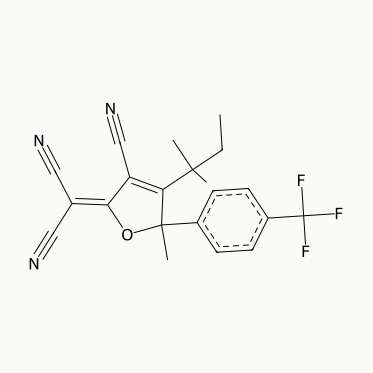 CCC(C)(C)C1=C(C#N)C(=C(C#N)C#N)OC1(C)c1ccc(C(F)(F)F)cc1